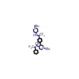 CN(C1CCN(C(C)(C)C)CC1c1ccc(C(NC2CCN(C(C)(C)C)CC2)C(F)(F)F)cc1)C(c1ccccc1)C(F)(F)F